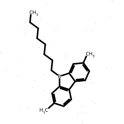 CCCCCCCCB1c2cc(C)ccc2-c2ccc(C)cc21